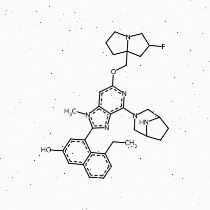 CCc1cccc2cc(O)cc(-c3nc4c(N5CC6CCC(C5)N6)nc(OCC56CCCN5CC(F)C6)cc4n3C)c12